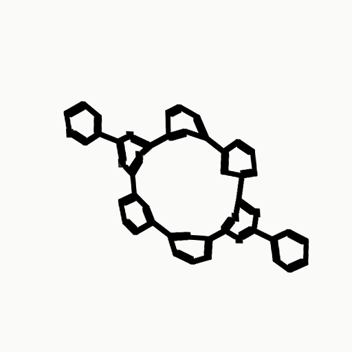 c1ccc(-c2nc3nc(n2)c2cccc(c2)c2cccc(c2)c2nc(-c4cccnc4)nc(n2)c2cccc(c2)c2cccc3c2)cc1